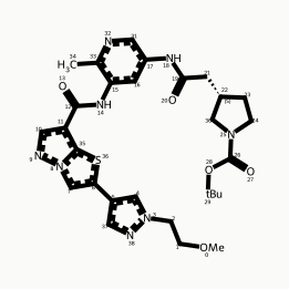 COCCn1cc(-c2cn3ncc(C(=O)Nc4cc(NC(=O)C[C@@H]5CCN(C(=O)OC(C)(C)C)C5)cnc4C)c3s2)cn1